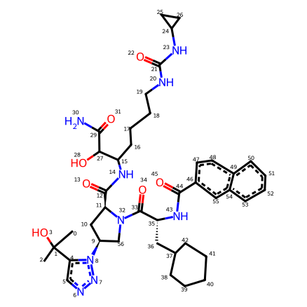 CC(C)(O)c1cnnn1[C@H]1C[C@@H](C(=O)NC(CCCCNC(=O)NC2CC2)C(O)C(N)=O)N(C(=O)[C@@H](CC2CCCCC2)NC(=O)c2ccc3ccccc3c2)C1